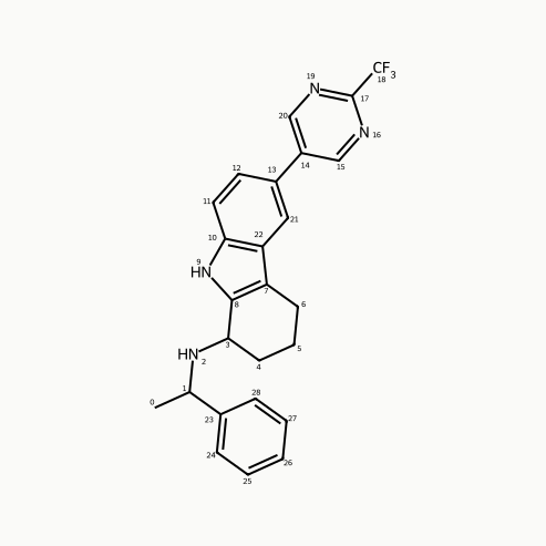 CC(NC1CCCc2c1[nH]c1ccc(-c3cnc(C(F)(F)F)nc3)cc21)c1ccccc1